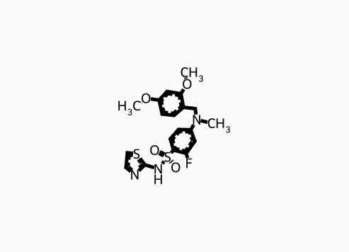 COc1ccc(CN(C)c2ccc(S(=O)(=O)Nc3nccs3)c(F)c2)c(OC)c1